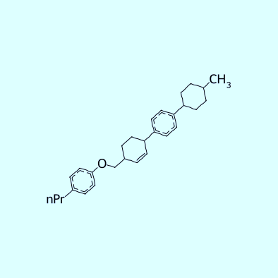 CCCc1ccc(OCC2C=CC(c3ccc(C4CCC(C)CC4)cc3)CC2)cc1